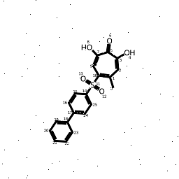 Cc1cc(O)c(=O)c(O)cc1S(=O)(=O)c1ccc(-c2ccccc2)cc1